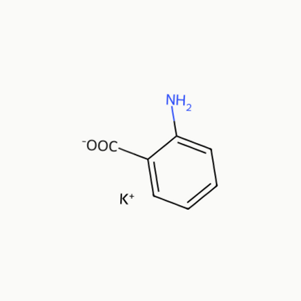 Nc1ccccc1C(=O)[O-].[K+]